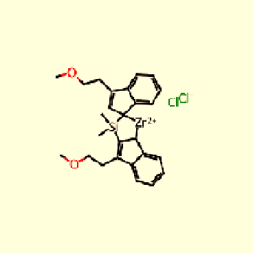 COCCC1=C[C]2([Zr+2][CH]3C(=C(CCOC)c4ccccc43)[Si]2(C)C)c2ccccc21.[Cl-].[Cl-]